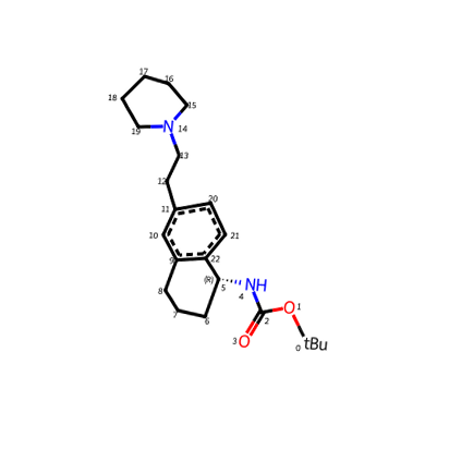 CC(C)(C)OC(=O)N[C@@H]1CCCc2cc(CCN3CCCCC3)ccc21